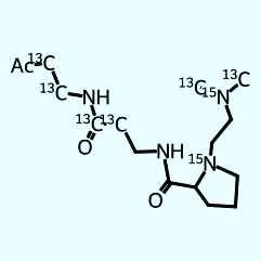 C[13C](=O)[13CH2][13CH2]N[13C](=O)[13CH2]CNC(=O)C1CCC[15N]1CC[15N]([13CH3])[13CH3]